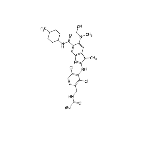 CN(CC#N)c1cc2c(cc1C(=O)NC1CCC(C(F)(F)F)CC1)nc(Nc1c(Cl)ccc(CNC(=O)C(C)(C)C)c1Cl)n2C